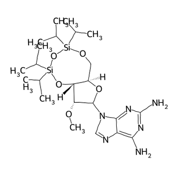 CO[C@H]1C(n2cnc3c(N)nc(N)nc32)O[C@@H]2CO[Si](C(C)C)(C(C)C)O[Si](C(C)C)(C(C)C)O[C@H]21